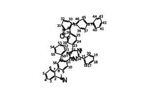 N#Cc1ccccc1-c1ccc(-c2nc(-c3ccccc3)nc(-c3ccc4c(c3)oc3cccc(-c5ccc(-c6ccccc6)cc5)c34)n2)c(-c2ccccc2)c1